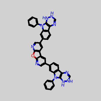 C1=Nc2c(n(-c3ccccc3)c3cc(-c4cnc5oc6ncc(-c7ccc8c9c(n(-c%10ccccc%10)c8c7)NNC=N9)cc6c5c4)ccc23)NN1